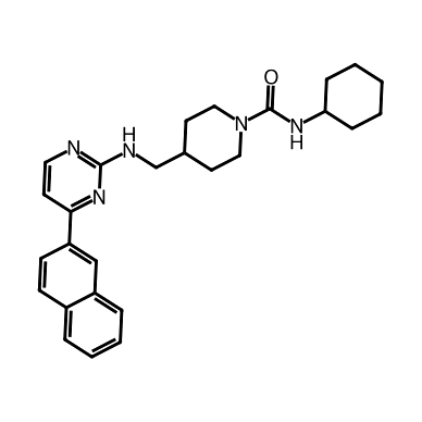 O=C(NC1CCCCC1)N1CCC(CNc2nccc(-c3ccc4ccccc4c3)n2)CC1